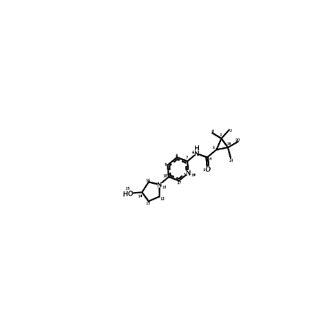 CC1(C)C(C(=O)Nc2ccc(N3CCC(O)C3)cn2)C1(C)C